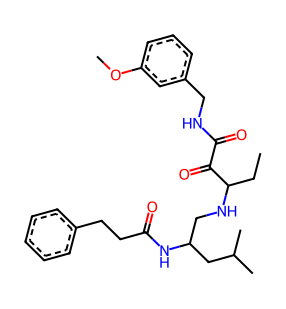 CCC(NCC(CC(C)C)NC(=O)CCc1ccccc1)C(=O)C(=O)NCc1cccc(OC)c1